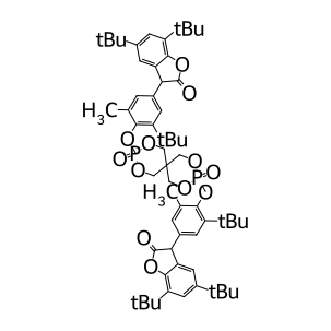 Cc1cc(C2C(=O)Oc3c2cc(C(C)(C)C)cc3C(C)(C)C)cc(C(C)(C)C)c1OP1(=O)OCC2(CO1)COP(=O)(Oc1c(C)cc(C3C(=O)Oc4c3cc(C(C)(C)C)cc4C(C)(C)C)cc1C(C)(C)C)OC2